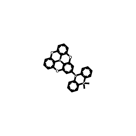 CS1(C)c2ccccc2N(c2cc3c4c(c2)Oc2cccc5c2B4c2c(cccc2O3)O5)c2ccccc21